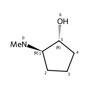 CN[C@@H]1CCC[C@H]1O